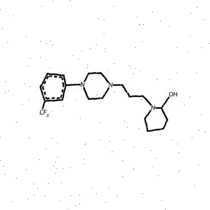 OC1CCCCN1CCCN1CCN(c2cccc(C(F)(F)F)c2)CC1